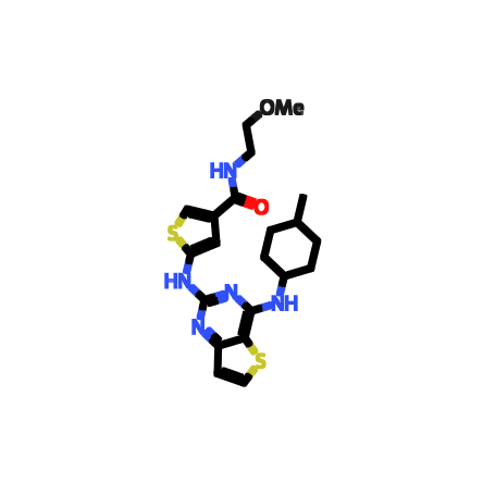 COCCNC(=O)c1csc(Nc2nc(NC3CCC(C)CC3)c3sccc3n2)c1